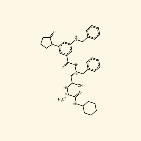 C[C@H](NC(O)C[C@H](Cc1ccccc1)NC(=O)c1cc(NCc2ccccc2)cc(N2CCCC2=O)c1)C(=O)NC1CCCCC1